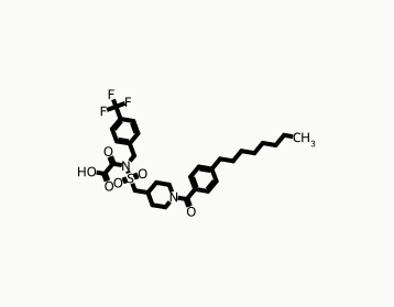 CCCCCCCCc1ccc(C(=O)N2CCC(CS(=O)(=O)N(Cc3ccc(C(F)(F)F)cc3)C(=O)C(=O)O)CC2)cc1